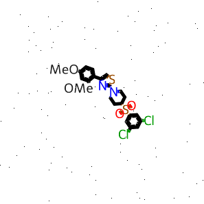 COc1ccc(-c2csc(N3CCC(S(=O)(=O)c4cc(Cl)cc(Cl)c4)CC3)n2)c(OC)c1